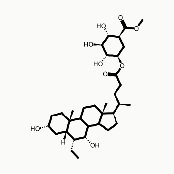 CC[C@H]1[C@@H](O)C2C3CC[C@H]([C@H](C)CCC(=O)O[C@@H]4C[C@H](C(=O)OC)[C@@H](O)[C@H](O)[C@H]4O)[C@@]3(C)CCC2[C@@]2(C)CC[C@@H](O)C[C@@H]12